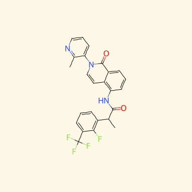 Cc1ncccc1-n1ccc2c(NC(=O)C(C)c3cccc(C(F)(F)F)c3F)cccc2c1=O